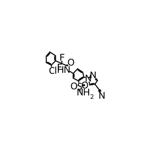 N#Cc1cnn(-c2ccc(NC(=O)C(F)(F)c3ccccc3Cl)cc2S(N)(=O)=O)c1